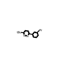 CC(C)c1cccc(-c2ccc(C(C)(C)C)nn2)c1